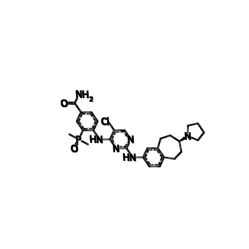 CP(C)(=O)c1cc(C(N)=O)ccc1Nc1nc(Nc2ccc3c(c2)CC[C@@H](N2CCCC2)CC3)ncc1Cl